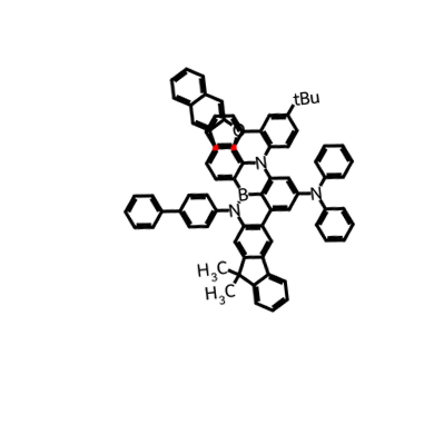 CC(C)(C)c1ccc(N2c3cc(N(c4ccccc4)c4ccccc4)cc4c3B(c3ccc5c(oc6cc7ccccc7cc65)c32)N(c2ccc(-c3ccccc3)cc2)c2cc3c(cc2-4)-c2ccccc2C3(C)C)c(-c2ccccc2)c1